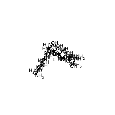 C[C@@H](O)[C@H](N)C(=O)O.N=C(N)NCCC[C@H](N)C(=O)O.NC(=O)C[C@H](N)C(=O)O.N[C@@H](Cc1c[nH]c2ccccc12)C(=O)O.N[C@@H](Cc1c[nH]c2ccccc12)C(=O)O.N[C@@H](Cc1c[nH]c2ccccc12)C(=O)O.N[C@@H](Cc1c[nH]cn1)C(=O)O.N[C@@H](Cc1c[nH]cn1)C(=O)O.O=C(O)[C@@H]1C[C@@H](O)CN1